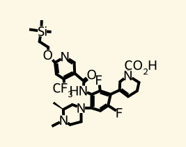 C[C@H]1CN(c2cc(F)c(C3=CCCN(C(=O)O)C3)c(F)c2NC(=O)c2cnc(OCC[Si](C)(C)C)cc2C(F)(F)F)CCN1C